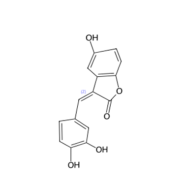 O=C1Oc2ccc(O)cc2/C1=C/c1ccc(O)c(O)c1